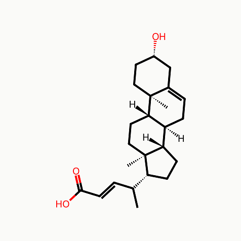 CC(/C=C/C(=O)O)[C@H]1CC[C@H]2[C@@H]3CC=C4C[C@@H](O)CC[C@]4(C)[C@H]3CC[C@]12C